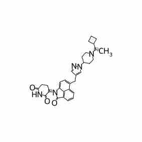 C[C@@H](C1CCC1)N1CCC(n2cc(Cc3ccc4c5c(cccc35)C(=O)N4[C@H]3CCC(=O)NC3=O)cn2)CC1